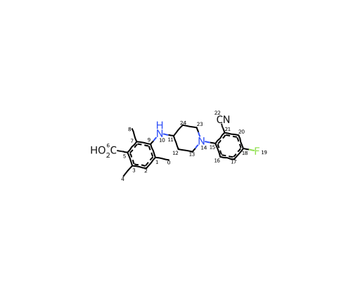 Cc1cc(C)c(C(=O)O)c(C)c1NC1CCN(c2ccc(F)cc2C#N)CC1